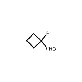 CCC1(C=O)CCC1